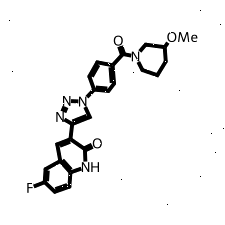 COC1CCCN(C(=O)c2ccc(-n3cc(-c4cc5cc(F)ccc5[nH]c4=O)nn3)cc2)C1